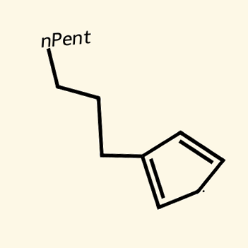 CCCCCCCCC1=C[CH]C=C1